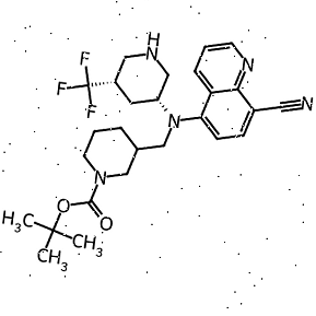 CC(C)(C)OC(=O)N1CCCC(CN(c2ccc(C#N)c3ncccc23)[C@H]2CNC[C@@H](C(F)(F)F)C2)C1